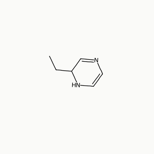 CCC1C=NC=CN1